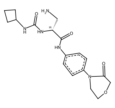 NC[C@@H](NC(=O)NC1CCC1)C(=O)Nc1ccc(N2CCOCC2=O)cc1